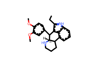 CCc1[nH]c2cccc3c2c1C(c1ccc(OC)c(OC)c1)[C@H]1NCCCC31